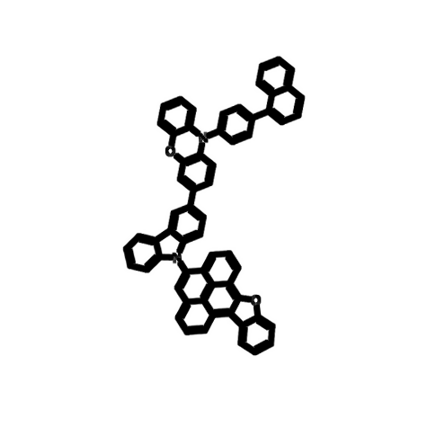 c1ccc2c(c1)Oc1cc(-c3ccc4c(c3)c3ccccc3n4-c3cc4cccc5c6c7ccccc7oc6c6cccc3c6c45)ccc1N2c1ccc(-c2cccc3ccccc23)cc1